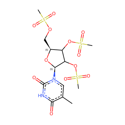 Cc1cn([C@H]2O[C@@H](COS(C)(=O)=O)C(OS(C)(=O)=O)C2OS(C)(=O)=O)c(=O)[nH]c1=O